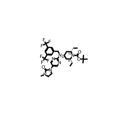 CC[C@@H]1C[C@H](N(Cc2cc(C(F)(F)F)cc(C(F)(F)F)c2)c2ncc(N3CCN(C)C3=O)cn2)C[C@H](CC)N1C(=O)OC(C)(C)C